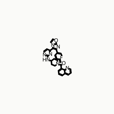 C=C(F)/C=C\C(=C/C)c1nc2occn2c1-c1ccnc(NC2CCN(C(=O)c3cccc4cccnc34)CC2)n1